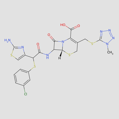 Cn1nnnc1SCC1=C(C(=O)O)N2C(=O)C(NC(=O)C(Sc3cccc(Cl)c3)c3csc(N)n3)[C@H]2SC1